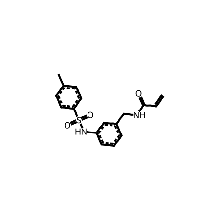 C=CC(=O)NCc1cccc(NS(=O)(=O)c2ccc(C)cc2)c1